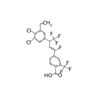 C=Cc1cc(C(C=C(F)c2ccc(C(=O)O)c(C(F)(F)F)c2)C(F)(F)F)cc(Cl)c1Cl